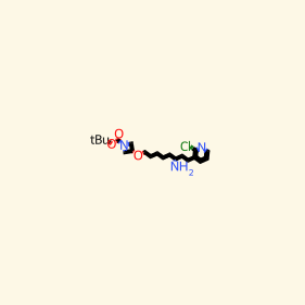 CC(C)(C)OC(=O)N1CC(OCCCCCC(N)CCc2cccnc2Cl)C1